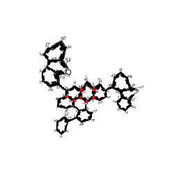 c1ccc(-c2ccccc2-c2c(-c3ccccc3)cccc2N(c2ccc(-c3cccc4c3oc3ccccc34)cc2)c2ccc(-c3cccc4sc5ccccc5c34)cc2)cc1